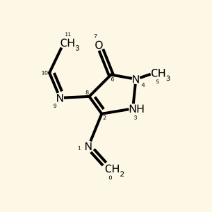 C=Nc1[nH]n(C)c(=O)c1/N=C\C